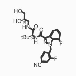 CC(C)(C)[C@H](NC(=O)c1nn(Cc2ccc(C#N)cc2F)c2c(F)cccc12)C(=O)NC[C@@H](O)CO